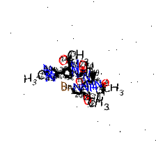 C=CC(C)(C)C(=O)NC[C@@]12C[C@@H](C(=O)Nc3nc(Br)ccc3COC)N(C(=O)Cn3nc(C(C)=O)c4cc(-c5cnc(C)nc5)ccc43)[C@@H]1C2